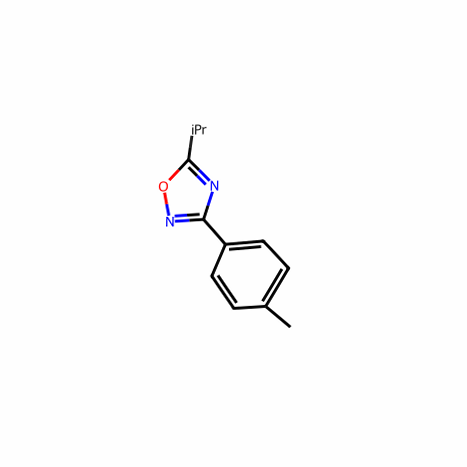 Cc1ccc(-c2noc(C(C)C)n2)cc1